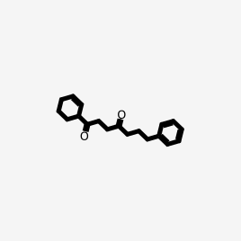 O=C(CCCc1ccccc1)CCC(=O)C1C=CCCC1